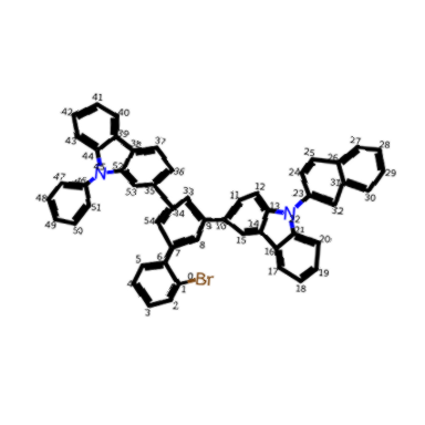 Brc1ccccc1-c1cc(-c2ccc3c(c2)c2ccccc2n3-c2ccc3ccccc3c2)cc(-c2ccc3c4ccccc4n(-c4ccccc4)c3c2)c1